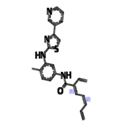 C=C/C=C\C=C(/C=C)C(=O)Nc1ccc(C)c(Nc2nc(-c3cccnc3)cs2)c1